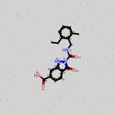 CCc1cccc(C)c1CNC(=O)n1[nH]c2cc(C(=O)O)ccc2c1=O